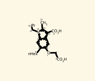 CCCCCCc1cc2c(cc1OCC(=O)O)c(C(=O)O)c(C)n2CC(C)C